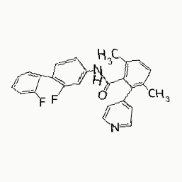 Cc1ccc(C)c(-c2ccncc2)c1C(=O)Nc1ccc(-c2ccccc2F)c(F)c1